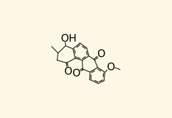 COc1cccc2c1C(=O)c1ccc3c(c1C2=O)C(=O)CC(C)C3O